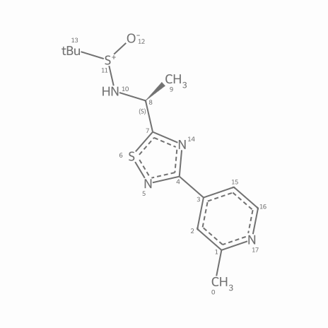 Cc1cc(-c2nsc([C@H](C)N[S+]([O-])C(C)(C)C)n2)ccn1